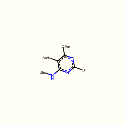 CCc1nc(NC(C)(C)C)c(NC)c(OC)n1